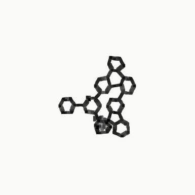 CC1(C)c2ccccc2-c2cc(-c3cccc4c5ccccc5c5ccc(-c6cc(-c7ccccc7)cc(-c7ccccc7)n6)cc5c34)ccc21